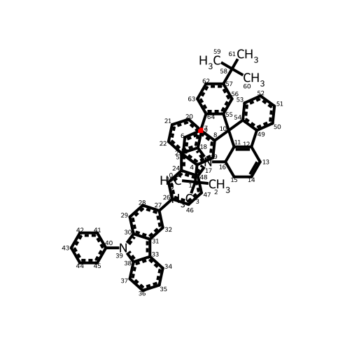 CC(C)(C)c1ccc2c(c1)C1(C3=C(C=CCC3n3c4ccccc4c4cc(-c5ccc6c(c5)c5ccccc5n6-c5ccccc5)ccc43)c3ccccc31)c1cc(C(C)(C)C)ccc1-2